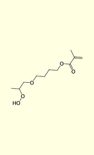 C=C(C)C(=O)OCCCCOCC(C)OO